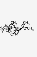 CCOC(C#Cc1cnc(Cl)nc1N[C@H](CNC(=O)OC(C)(C)C)CC(C)C)OCC